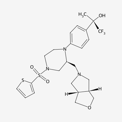 C[C@](O)(c1ccc(N2CCN(S(=O)(=O)c3cccs3)C[C@@H]2CN2C[C@H]3COC[C@H]3C2)cc1)C(F)(F)F